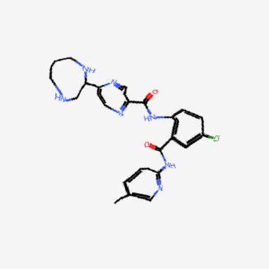 Cc1ccc(NC(=O)c2cc(Cl)ccc2NC(=O)c2cnc(C3CNCCCN3)cn2)nc1